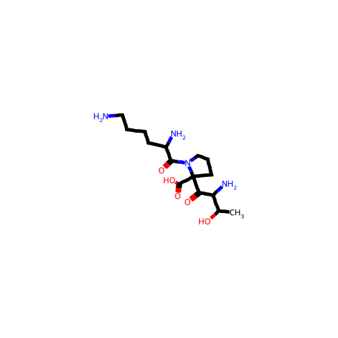 CC(O)C(N)C(=O)C1(C(=O)O)CCCN1C(=O)C(N)CCCCN